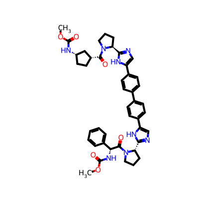 COC(=O)N[C@H]1CC[C@@H](C(=O)N2CCC[C@H]2c2ncc(-c3ccc(-c4ccc(-c5cnc([C@@H]6CCCN6C(=O)[C@H](NC(=O)OC)c6ccccc6)[nH]5)cc4)cc3)[nH]2)C1